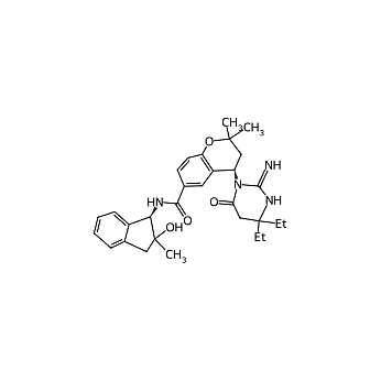 CCC1(CC)CC(=O)N([C@@H]2CC(C)(C)Oc3ccc(C(=O)N[C@@H]4c5ccccc5CC4(C)O)cc32)C(=N)N1